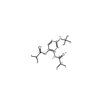 CC(C)C(=O)Oc1ccc(OC(C)(C)C)cc1OC(=O)C(C)C